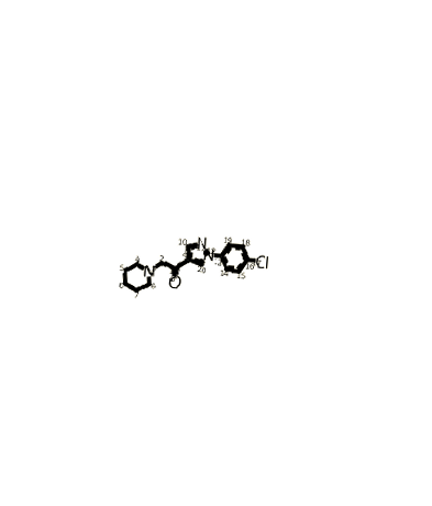 O=C(CN1CCCCC1)c1cnn(-c2ccc(Cl)cc2)c1